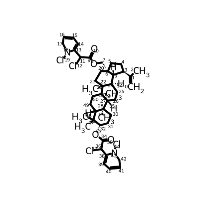 C=C(C)[C@@H]1CC[C@]2(COC(=O)C(Cl)C3=CC=CCN3Cl)CC[C@]3(C)[C@H](CC[C@@H]4[C@@]5(C)CC[C@H](OC(=O)C(Cl)C6=CC=CCN6Cl)C(C)(C)[C@@H]5CC[C@]43C)[C@@H]12